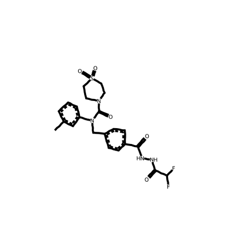 Cc1cccc(N(Cc2ccc(C(=O)NNC(=O)C(F)F)cc2)C(=O)N2CCS(=O)(=O)CC2)c1